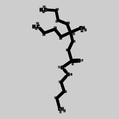 CCCCOOC(=O)CCC(C)(CCCC)CCCC